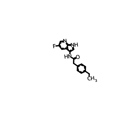 CCc1ccc(CC(=O)Nc2c[nH]c3ncc(F)cc23)cc1